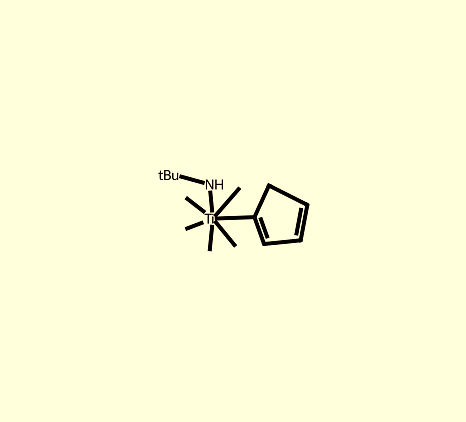 CC(C)(C)[NH][Ti]([CH3])([CH3])([CH3])([CH3])([CH3])[C]1=CC=CC1